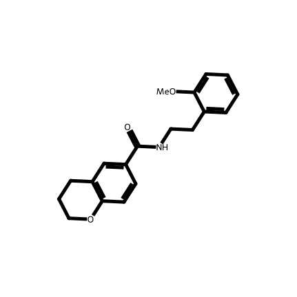 COc1ccccc1CCNC(=O)c1ccc2c(c1)CCCO2